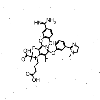 CN1CCN=C1c1cccc(Oc2nc(Oc3cc(C(=N)N)ccc3O)c(F)c(N(CCCC(=O)O)C(C)(C)C(=O)O)c2F)c1